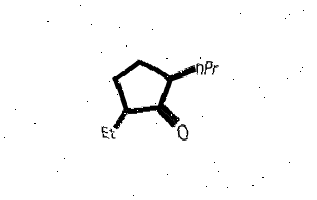 CCCC1CCC(CC)C1=O